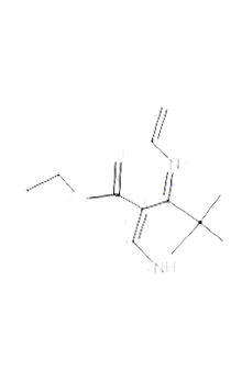 C=C/N=C(\C(=C/N)C(=O)OCC)C(C)(C)C